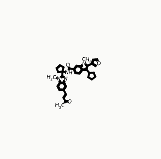 CC(=O)/C=C/c1ccc2c(c1)nc(C1(NC(=O)c3ccc4c(C5CCCC5)c(-c5ccoc5)n(C)c4c3)CC=CC1)n2C